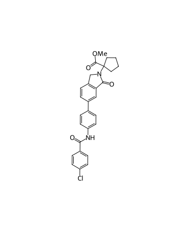 COC(=O)C1(N2Cc3ccc(-c4ccc(NC(=O)c5ccc(Cl)cc5)cc4)cc3C2=O)CCCC1